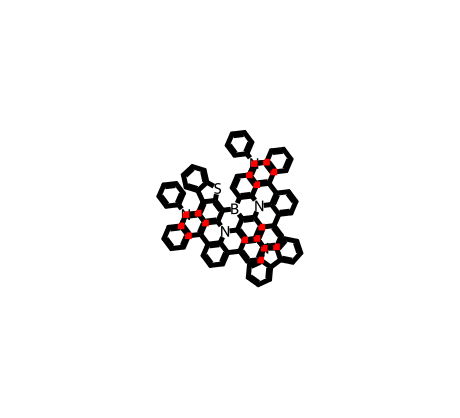 c1ccc(-c2cccc(-c3ccccc3)c2N2c3cc(N(c4ccccc4)c4ccccc4)ccc3B3c4c2cc(-n2c5ccccc5c5ccccc52)cc4N(c2c(-c4ccccc4)cccc2-c2ccccc2)c2cc(N(c4ccccc4)c4ccccc4)c4c(sc5ccccc54)c23)cc1